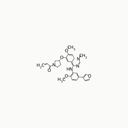 C=CC(=O)N1CCC(OC2=C/C(=C(/N=C\N=C)Nc3cc(-c4ccoc4)ccc3OC)CC=C2OC)C1